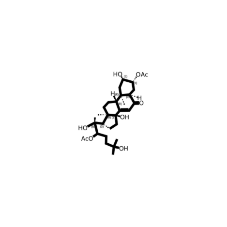 CC(=O)OC(CCC(C)(C)O)[C@](C)(O)[C@H]1CC[C@@]2(O)C3=CC(=O)[C@@H]4C[C@@H](OC(C)=O)[C@@H](O)C[C@]4(C)[C@H]3CC[C@]12C